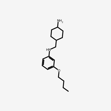 CCCCOc1cccc(NCC2CCC(N)CC2)c1